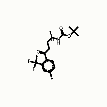 C[C@H](CCC(=O)c1ccc(F)cc1C(F)(F)F)NC(=O)OC(C)(C)C